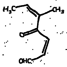 C/C=C(/C)C(=O)/C=C\C=O